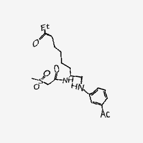 CCC(=O)CCCCCC(CNc1cccc(C(C)=O)c1)NC(=O)CS(C)(=O)=O